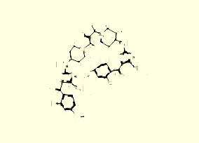 COc1ccc(C(=O)c2sc(NC3CCN(C(C)C(=O)C(C)N4CCC(Nc5nc(N)c(C(=O)c6ccc(OC)cc6F)s5)CC4)CC3)nc2N)c(F)c1